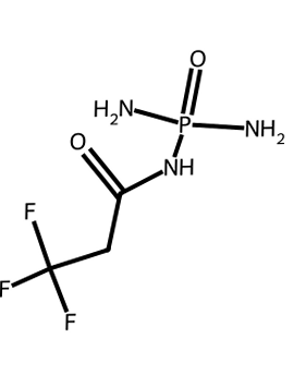 NP(N)(=O)NC(=O)CC(F)(F)F